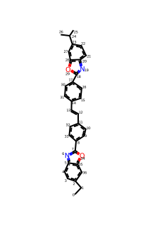 CCc1ccc2nc(-c3ccc(/C=C/c4ccc(-c5nc6ccc(C(C)C)cc6o5)cc4)cc3)oc2c1